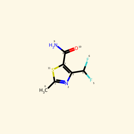 Cc1nc(C(F)F)c(C(N)=O)s1